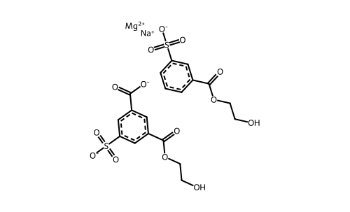 O=C(OCCO)c1cccc(S(=O)(=O)[O-])c1.O=C([O-])c1cc(C(=O)OCCO)cc(S(=O)(=O)[O-])c1.[Mg+2].[Na+]